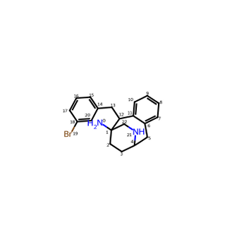 NC12CCC(Cc3ccccc3C1Cc1cccc(Br)c1)NC2